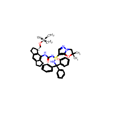 CC1(C)Cn2ncc(S(=O)(=NC(=O)Nc3c4c(cc5c3[C@@H](CO[Si](C)(C)C(C)(C)C)CC5)CCC4)NC(c3ccccc3)(c3ccccc3)c3ccccc3)c2O1